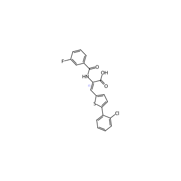 O=C(O)/C(=C\c1ccc(-c2ccccc2Cl)s1)NC(=O)c1cccc(F)c1